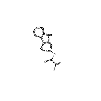 C=C(C)C(=O)Oc1ccc2c(c1)[nH]c1ccccc12